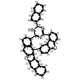 c1ccc(C2=NC(c3cccc4oc5ccc(-c6cccc7oc8cc9ccccc9cc8c67)cc5c34)=NC(c3ccc4ccccc4c3)N2)cc1